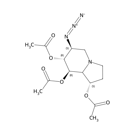 CC(=O)O[C@@H]1[C@@H](N=[N+]=[N-])CN2CC[C@H](OC(C)=O)C2[C@H]1OC(C)=O